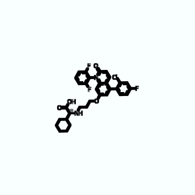 O=C(O)[C@@H](NCCCOc1cc(-c2ccc(F)cc2Cl)c2ccc(=O)n(-c3c(F)cccc3F)c2c1)C1CCCCC1